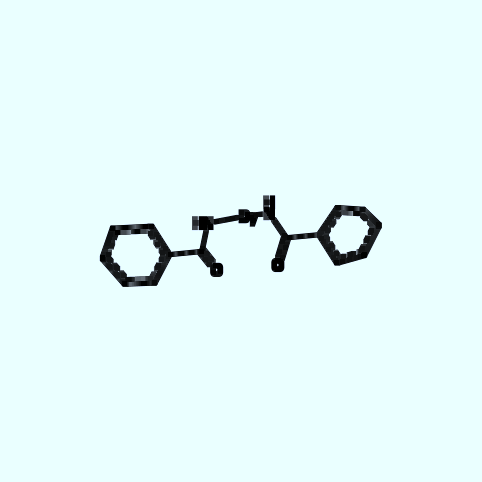 O=C([NH][Dy][NH]C(=O)c1ccccc1)c1ccccc1